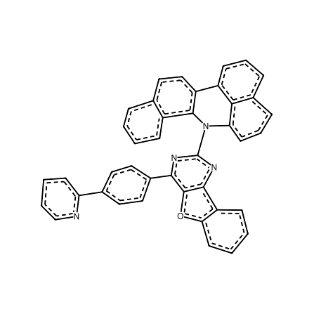 c1ccc(-c2ccc(-c3nc(N4c5c(ccc6ccccc56)-c5cccc6cccc4c56)nc4c3oc3ccccc34)cc2)nc1